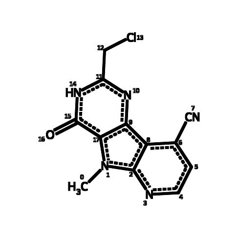 Cn1c2nccc(C#N)c2c2nc(CCl)[nH]c(=O)c21